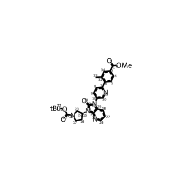 COC(=O)c1ccc(-c2ccc(-n3c(=O)n([C@H]4CCN(C(=O)OC(C)(C)C)C4)c4ncccc43)cn2)c(C)c1